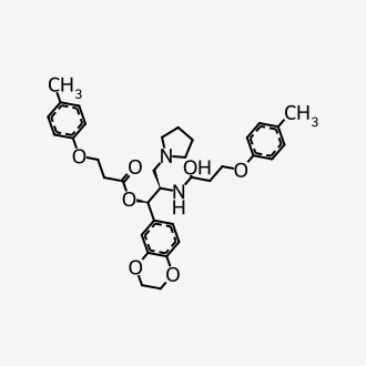 Cc1ccc(OCCC(=O)O[C@H](c2ccc3c(c2)OCCO3)[C@@H](CN2CCCC2)N[C@H](O)CCOc2ccc(C)cc2)cc1